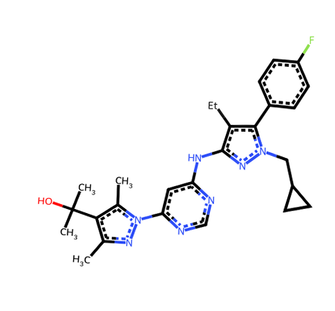 CCc1c(Nc2cc(-n3nc(C)c(C(C)(C)O)c3C)ncn2)nn(CC2CC2)c1-c1ccc(F)cc1